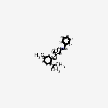 CC(C)[C@@H]1CC[C@@H](C)C[C@H]1O[PH](=O)C/C=C/c1ccccc1